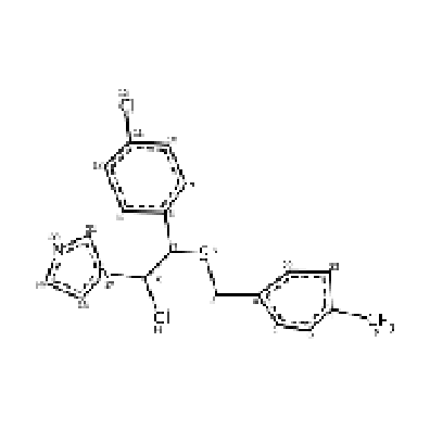 FC(F)(F)c1ccc(CSC(c2ccc(Cl)cc2)C(Cl)n2ccnc2)cc1